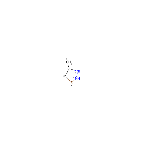 CC1CSNN1